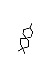 CC1CCC2(CC1)CCC(C)(C)CC2